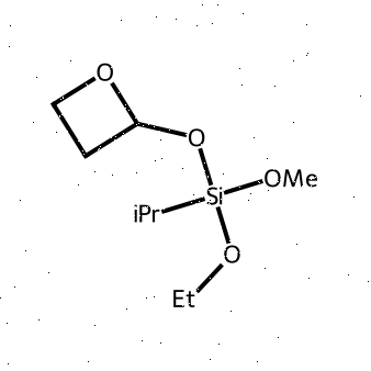 CCO[Si](OC)(OC1CCO1)C(C)C